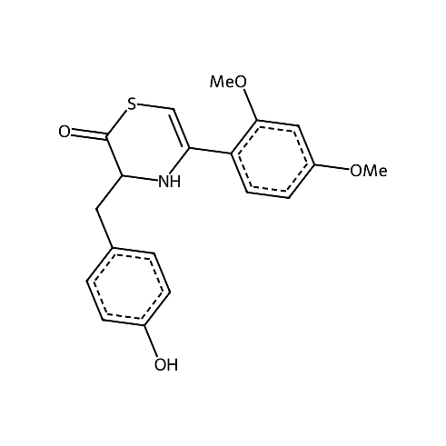 COc1ccc(C2=CSC(=O)C(Cc3ccc(O)cc3)N2)c(OC)c1